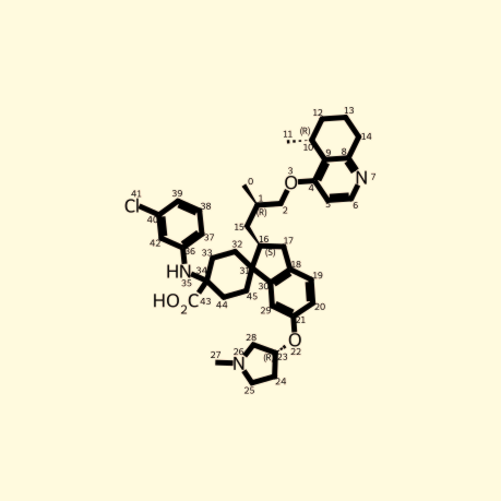 C[C@@H](COc1ccnc2c1[C@H](C)CCC2)C[C@H]1Cc2ccc(O[C@@H]3CCN(C)C3)cc2C12CCC(Nc1cccc(Cl)c1)(C(=O)O)CC2